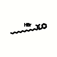 Br.CCCCCCCCCCCCCCN(Cc1ccccc1)C(C)C